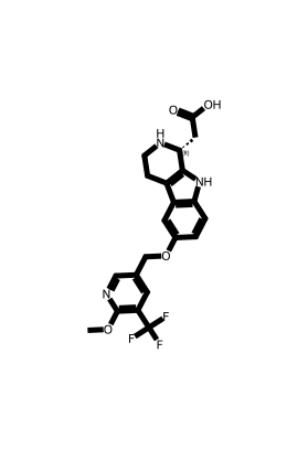 COc1ncc(COc2ccc3[nH]c4c(c3c2)CCN[C@@H]4CC(=O)O)cc1C(F)(F)F